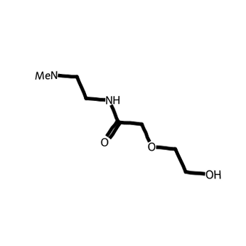 CNCCNC(=O)COCCO